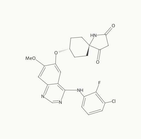 COc1cc2ncnc(Nc3cccc(Cl)c3F)c2cc1O[C@H]1CC[C@@]2(CC1)NC(=O)CC2=O